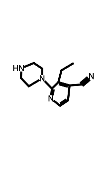 CCc1c(C#N)ccnc1N1CCNCC1